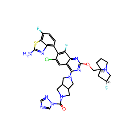 Nc1nc2c(-c3c(Cl)cc4c(N5CC6CN(C(=O)n7cncn7)CC6C5)nc(OC[C@@]56CCCN5C[C@H](F)C6)nc4c3F)ccc(F)c2s1